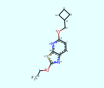 FC(F)(F)COc1nc2ccc(OCC3CCC3)nc2s1